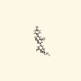 Cn1cc2cc(-c3cc(Cl)c4cc(N5CCNCC5)cnc4n3)cc(F)c2n1